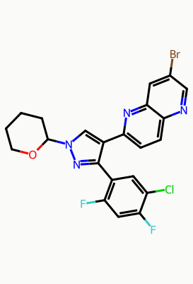 Fc1cc(F)c(-c2nn(C3CCCCO3)cc2-c2ccc3ncc(Br)cc3n2)cc1Cl